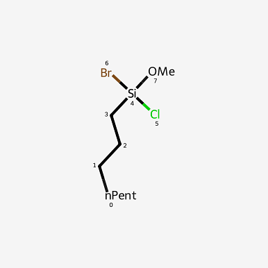 CCCCCCCC[Si](Cl)(Br)OC